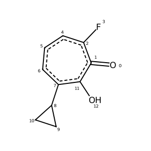 O=c1c(F)cccc(C2CC2)c1O